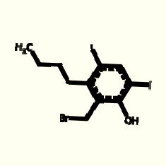 CCCCc1c(I)cc(I)c(O)c1CBr